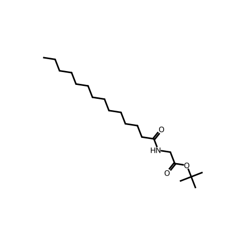 CCCCCCCCCCCCCC(=O)NCC(=O)OC(C)(C)C